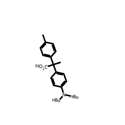 CCCCN(CCCC)c1ccc(C(C)(C(=O)O)c2ccc(C)cc2)cc1